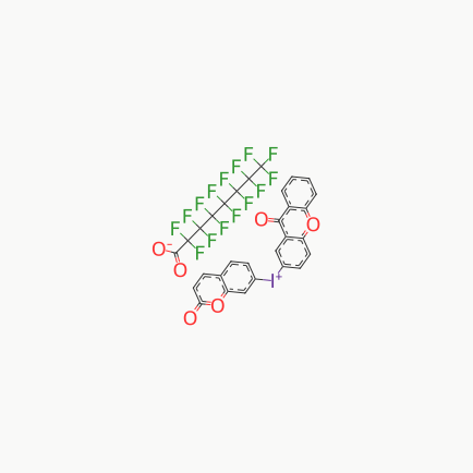 O=C([O-])C(F)(F)C(F)(F)C(F)(F)C(F)(F)C(F)(F)C(F)(F)C(F)(F)F.O=c1ccc2ccc([I+]c3ccc4oc5ccccc5c(=O)c4c3)cc2o1